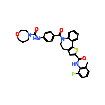 Cc1cccc(F)c1NC(=O)c1cc2c(s1)-c1ccccc1N(C(=O)c1ccc(NC(=O)N3CCCOCC3)cc1)CC2